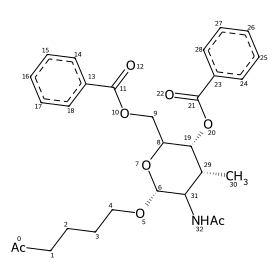 CC(=O)CCCCO[C@@H]1OC(COC(=O)c2ccccc2)[C@H](OC(=O)c2ccccc2)[C@H](C)C1NC(C)=O